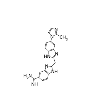 Cc1nccn1-c1ccc2[nH]c(Cc3nc4cc(C(=N)N)ccc4[nH]3)nc2c1